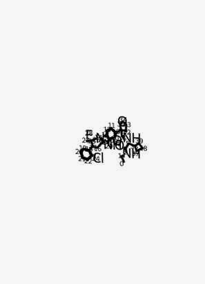 CCNC(=O)[C@H](NC(=O)C1(c2ccc3nc(CC(c4ccccc4Cl)C(C)(C)F)[nH]c3c2)CCOC1)C1CCC1